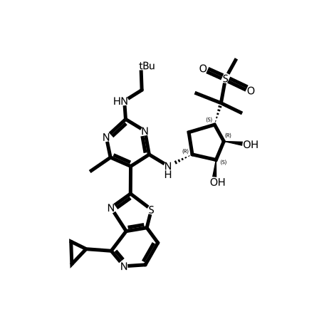 Cc1nc(NCC(C)(C)C)nc(N[C@@H]2C[C@H](C(C)(C)S(C)(=O)=O)[C@@H](O)[C@H]2O)c1-c1nc2c(C3CC3)nccc2s1